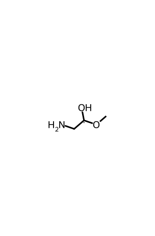 CO[C](O)CN